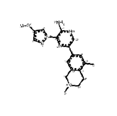 COc1cnn(-c2nc(-c3cc(C)c4c(c3)CN(C)CC4)cnc2N)c1